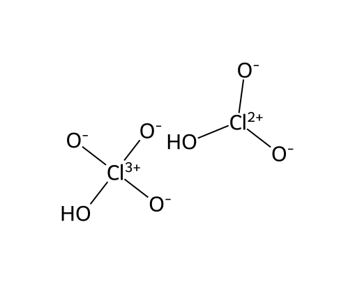 [O-][Cl+2]([O-])O.[O-][Cl+3]([O-])([O-])O